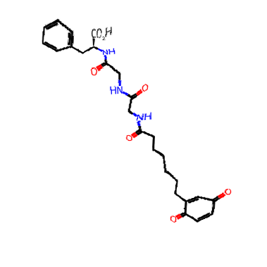 O=C1C=CC(=O)C(CCCCCCC(=O)NCC(=O)NCC(=O)N[C@@H](Cc2ccccc2)C(=O)O)=C1